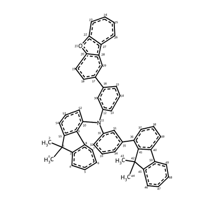 CC1(C)c2ccccc2-c2c(N(c3cccc(-c4ccc5oc6ccccc6c5c4)c3)c3cccc(-c4cccc5c4C(C)(C)c4ccccc4-5)c3)cccc21